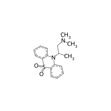 CC(CN(C)C)N1c2ccccc2S(=O)(=O)c2ccccc21